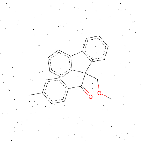 COCC1(C(=O)c2ccc(C)cc2)c2ccccc2-c2ccccc21